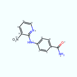 NC(=O)c1ccc(Nc2ncccc2[N+](=O)[O-])cc1